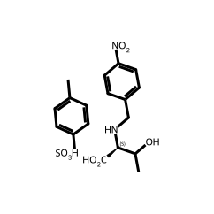 CC(O)[C@H](NCc1ccc([N+](=O)[O-])cc1)C(=O)O.Cc1ccc(S(=O)(=O)O)cc1